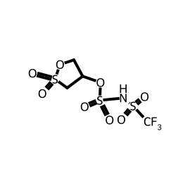 O=S1(=O)CC(OS(=O)(=O)NS(=O)(=O)C(F)(F)F)CO1